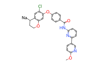 COc1ccc(-c2cccc(NC(=O)c3ccc(Oc4cc5c(cc4Cl)[CH]([Na])CCO5)cc3)n2)cn1